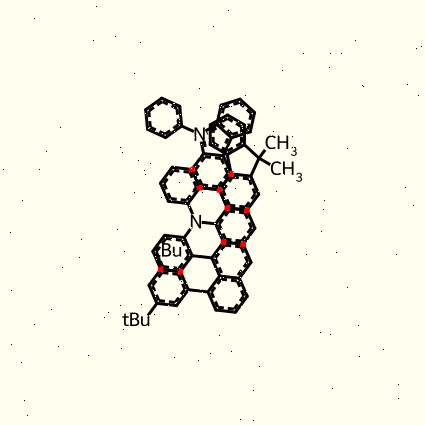 CC(C)(C)c1cc(-c2cccc3cccc(-c4ccccc4N(c4ccccc4-c4ccc5c(c4)c4ccccc4n5-c4ccccc4)c4ccccc4-c4cccc5c4-c4ccccc4C5(C)C)c23)cc(C(C)(C)C)c1